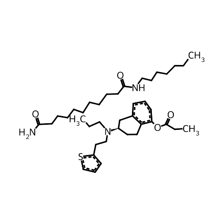 CCCCCCCNC(=O)CCCCCCCCCC(N)=O.CCCN(CCc1cccs1)[C@@H]1CCc2c(cccc2OC(=O)CC)C1